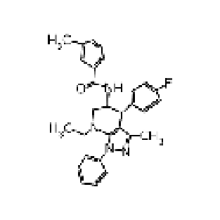 CCN1C[C@@H](NC(=O)c2cccc(C)c2)[C@@H](c2ccc(F)cc2)c2c(C)nn(-c3ccccc3)c21